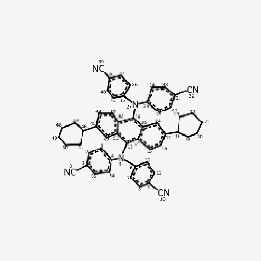 N#Cc1ccc(N(c2ccc(C#N)cc2)c2c3ccc(C4CCCCC4)cc3c(N(c3ccc(C#N)cc3)c3ccc(C#N)cc3)c3ccc(C4CCCCC4)cc23)cc1